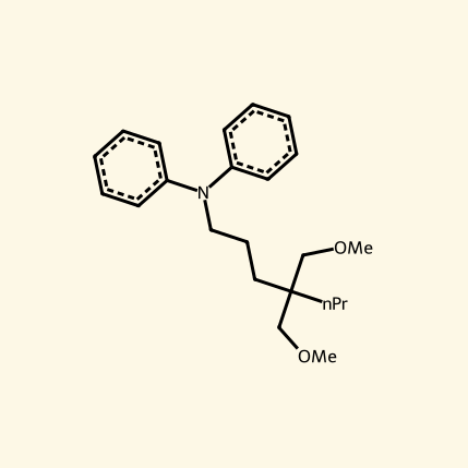 CCCC(CCCN(c1ccccc1)c1ccccc1)(COC)COC